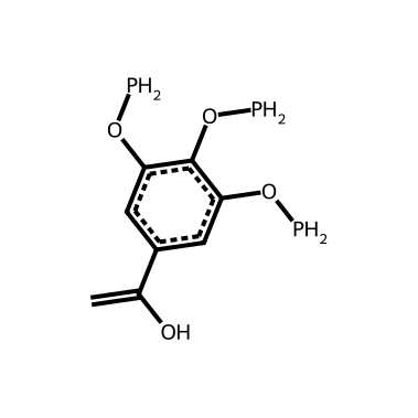 C=C(O)c1cc(OP)c(OP)c(OP)c1